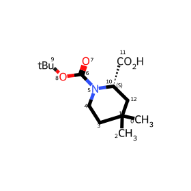 CC1(C)CCN(C(=O)OC(C)(C)C)[C@H](C(=O)O)C1